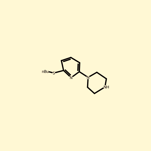 CCCCSc1cccc(N2CCNCC2)n1